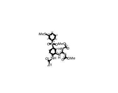 CCC(=O)Nc1ccc(S(=O)(=O)c2cccc(SC)c2)cc1NC(=NC(=O)OC)NC(=O)OC